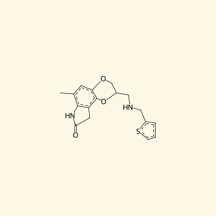 Cc1cc2c(c3c1NC(=O)C3)OC(CNCc1cccs1)CO2